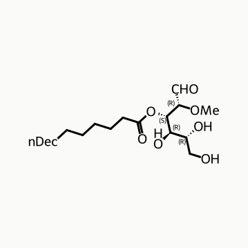 CCCCCCCCCCCCCCCC(=O)O[C@@H]([C@H](O)[C@H](O)CO)[C@H](C=O)OC